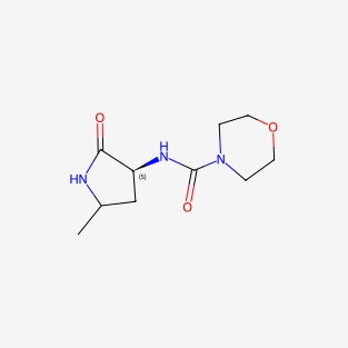 CC1C[C@H](NC(=O)N2CCOCC2)C(=O)N1